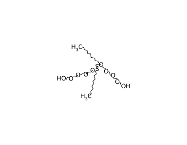 CCCCCCCCCCC(OCCOCCOCCOCCO)SSC(CCCCCCCCCC)OCCOCCOCCOCCO